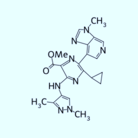 COC(=O)c1nc(-c2cncc3c2ncn3C)c(C2CC2)nc1Nc1cn(C)nc1C